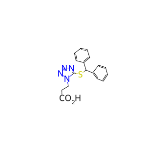 O=C(O)CCn1nnnc1SC(c1ccccc1)c1ccccc1